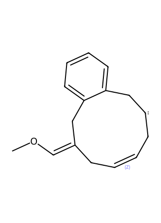 COC=C1C/C=C\C[C]Cc2ccccc2C1